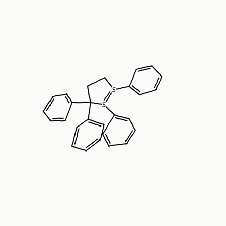 c1ccc(S2=S(c3ccccc3)C(c3ccccc3)(c3ccccc3)CC2)cc1